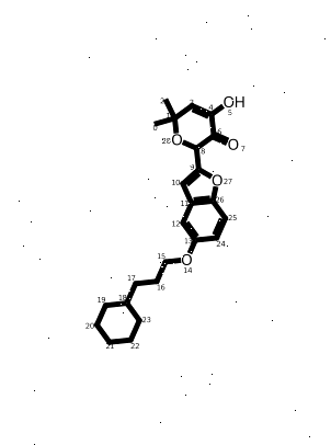 CC1(C)C=C(O)C(=O)C(c2cc3cc(OCCCC4CCCCC4)ccc3o2)O1